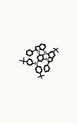 CC(C)(C)c1ccc(N(c2ccc(C(C)(C)C)cc2)c2cc3c4c(c2)-n2c(-c5ccccc5)cc5cc(C(C)(C)C)cc(c52)B4c2cccc4cc(-c5ccccc5)n-3c24)cc1